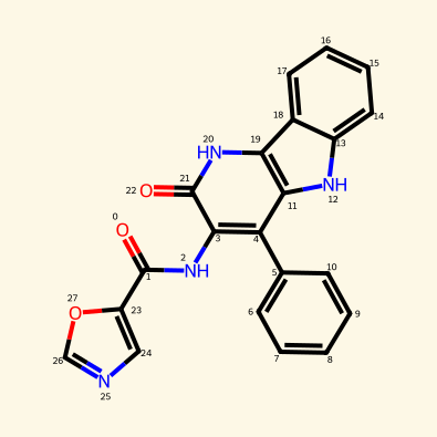 O=C(Nc1c(-c2ccccc2)c2[nH]c3ccccc3c2[nH]c1=O)c1cnco1